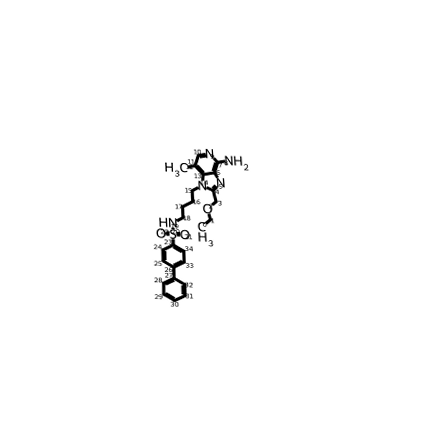 CCOCc1nc2c(N)ncc(C)c2n1CCCCNS(=O)(=O)c1ccc(-c2ccccc2)cc1